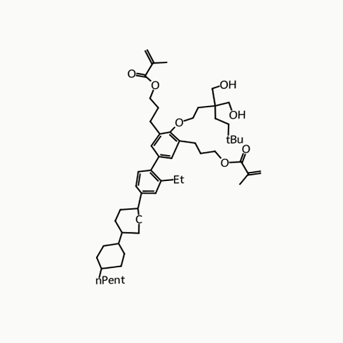 C=C(C)C(=O)OCCCc1cc(-c2ccc(C3CCC(C4CCC(CCCCC)CC4)CC3)cc2CC)cc(CCCOC(=O)C(=C)C)c1OCCC(CO)(CO)CCC(C)(C)C